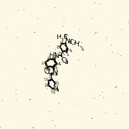 CN(C)c1ccc(C(=O)Nc2ccc3oc(-c4cccnc4)nc3c2)cc1